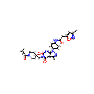 Cc1cc(CC(=O)Nc2ccc(-n3ncc4c(=O)n(CC5(O)CCN(C(=O)C6CC6)CC5)cnc43)cc2)on1